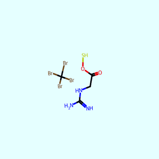 BrC(Br)(Br)Br.N=C(N)NCC(=O)OS